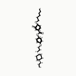 CCCCCCOc1ccc(C(=O)Oc2ccc(OCCC[C@H]3CC[C@H](CCC)CC3)cc2)cc1F